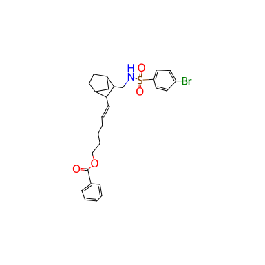 O=C(OCCCCC=CC1C2CCC(C2)C1CNS(=O)(=O)c1ccc(Br)cc1)c1ccccc1